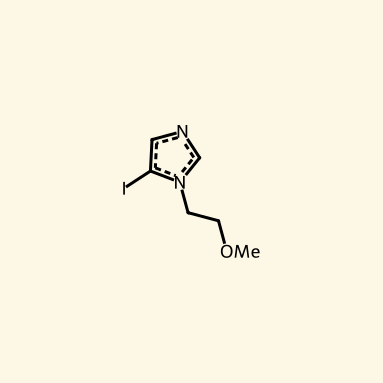 COCCn1cncc1I